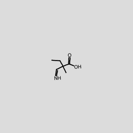 CCC(C)(C=N)C(=O)O